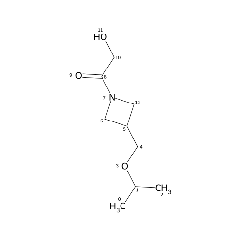 CC(C)OCC1CN(C(=O)CO)C1